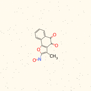 Cc1c(N=O)oc2c1C(=O)C(=O)c1ccccc1-2